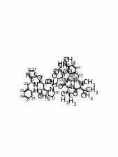 CC[C@H](C)[C@@H]([C@@H](CC(=O)N1CCCC1[C@H](OC)[C@@H](C)C(=O)N[C@@H](Cc1ccccc1)c1nccs1)OC)N(C)C(=O)C(NC(=O)C(C(C)C)N(C)CCc1ccc(NC)cc1)C(C)C